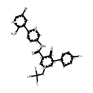 Nc1ncc(Br)cc1-c1ccc(NC(=O)c2cn(CC(F)(F)F)cc(-c3ccc(F)cc3)c2=O)cn1